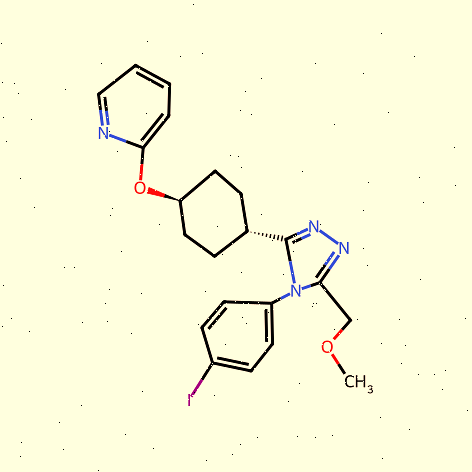 COCc1nnc([C@H]2CC[C@H](Oc3ccccn3)CC2)n1-c1ccc(I)cc1